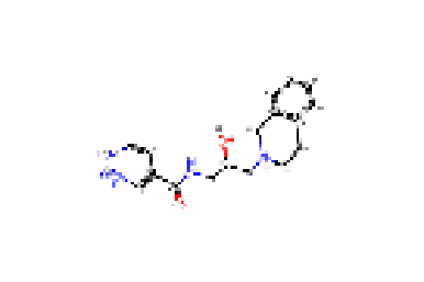 N/C=C\C(=C/N)C(=O)NC[C@@H](O)CN1CCc2ccccc2C1